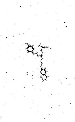 CC(=O)C(N)CCN(CCCCc1ccc2c(n1)NCCC2)CCOc1ccc(C)nc1